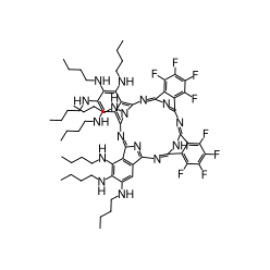 CCCCNc1cc2c(c(NCCCC)c1NCCCC)-c1nc-2nc2[nH]c(nc3nc(nc4c5c(NCCCC)c(NCCCC)c(NCCCC)c(NCCCC)c5c(n1)n4NCCCC)-c1c(F)c(F)c(F)c(F)c1-3)c1c(F)c(F)c(F)c(F)c21